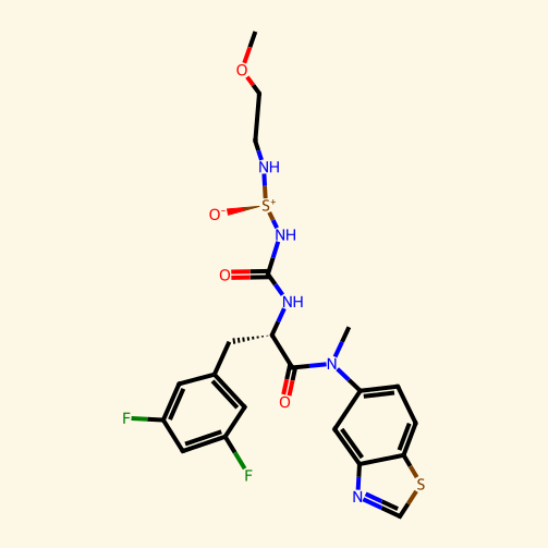 COCCN[S@+]([O-])NC(=O)N[C@@H](Cc1cc(F)cc(F)c1)C(=O)N(C)c1ccc2scnc2c1